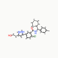 Cc1ccc(C(NC(=O)c2cc(-c3cc(CCO)n[nH]3)ccc2Cl)C2CCCCC2)cc1